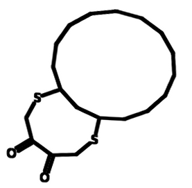 O=C1CSC2CCCCCCCCCCCCC(C2)SCC1=O